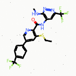 CCSc1cc(-c2ccc(C(F)(F)F)cc2)cnc1C(=O)Nc1cc(C(F)(F)F)nnc1NC